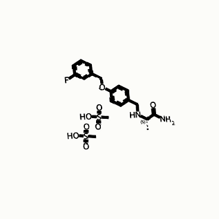 CS(=O)(=O)O.CS(=O)(=O)O.C[C@H](NCc1ccc(OCc2cccc(F)c2)cc1)C(N)=O